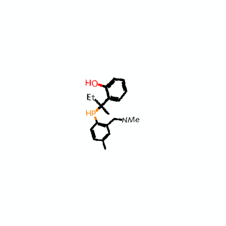 CCC(C)(Pc1ccc(C)cc1CNC)c1ccccc1O